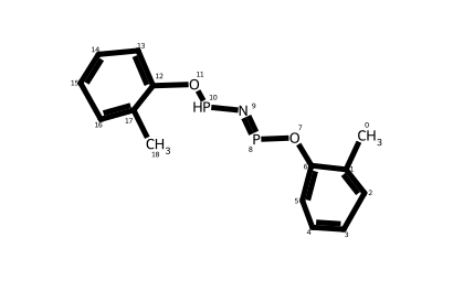 Cc1ccccc1OP=NPOc1ccccc1C